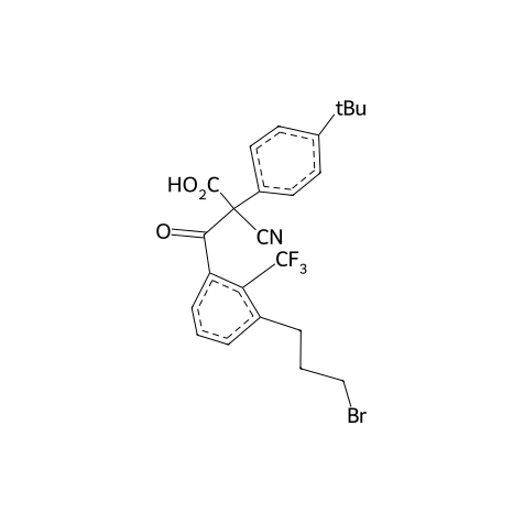 CC(C)(C)c1ccc(C(C#N)(C(=O)O)C(=O)c2cccc(CCCBr)c2C(F)(F)F)cc1